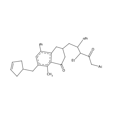 CCCC(CC1CC(=O)c2c(C)c(CC3CC=CC3)cc(C(C)C)c2C1)C(CC)C(=O)CC(C)=O